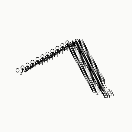 O=[N+]([O-])O.O=[N+]([O-])O.O=[N+]([O-])O.O=[N+]([O-])O.O=[N+]([O-])O.O=[N+]([O-])O.O=[N+]([O-])O.O=[N+]([O-])O.O=[N+]([O-])O.O=[N+]([O-])O.O=[N+]([O-])O.O=[N+]([O-])O.O=[N+]([O-])O.O=[N+]([O-])O.O=[N+]([O-])O.O=[N+]([O-])O.O=[N+]([O-])O.O=[N+]([O-])O.O=[N+]([O-])O.O=[N+]([O-])O.O=[N+]([O-])O.O=[N+]([O-])O.O=[N+]([O-])O.O=[N+]([O-])O.O=[N+]([O-])O.O=[N+]([O-])O.O=[N+]([O-])O.O=[N+]([O-])O.O=[N+]([O-])O.O=[N+]([O-])[O-].O=[N+]([O-])[O-].O=[N+]([O-])[O-].O=[N+]([O-])[O-].O=[N+]([O-])[O-].O=[N+]([O-])[O-].[Zn+2].[Zn+2].[Zn+2]